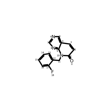 O=c1ccc2cncnc2n1Cc1ccccc1F